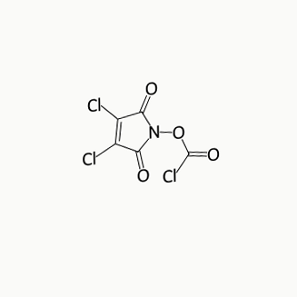 O=C(Cl)ON1C(=O)C(Cl)=C(Cl)C1=O